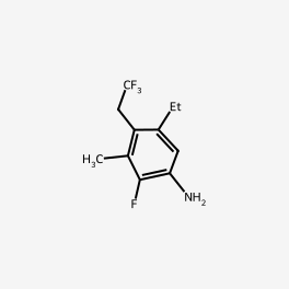 CCc1cc(N)c(F)c(C)c1CC(F)(F)F